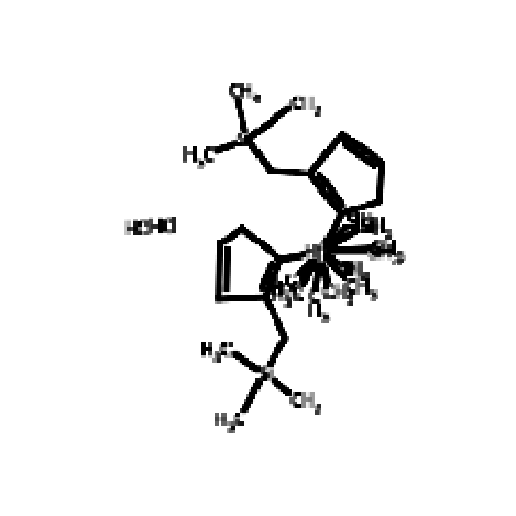 C[Si](C)(C)CC1=[C]([Hf]([CH3])([CH3])([CH3])([CH3])([CH3])([CH3])([CH3])([CH3])([SiH3])([SiH3])([SiH3])([SiH3])[C]2=C(C[Si](C)(C)C)C=CC2)CC=C1.Cl.Cl